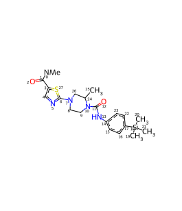 CNC(=O)c1cnc(N2CCN(C(=O)Nc3ccc([Si](C)(C)C)cc3)C(C)C2)s1